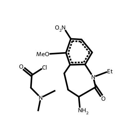 CCN1C(=O)C(N)CCc2c1ccc([N+](=O)[O-])c2OC.CN(C)CC(=O)Cl